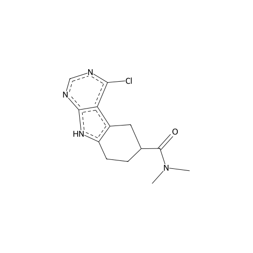 CN(C)C(=O)C1CCc2[nH]c3ncnc(Cl)c3c2C1